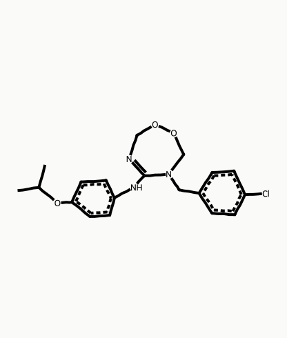 CC(C)Oc1ccc(NC2=NCOOCN2Cc2ccc(Cl)cc2)cc1